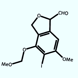 COCOc1c(I)c(OC)cc2c1COC2C=O